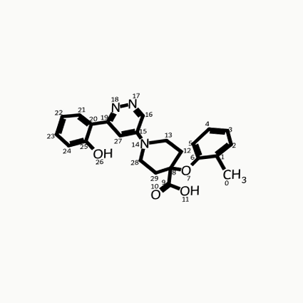 Cc1ccccc1OC1(C(=O)O)CCN(c2cnnc(-c3ccccc3O)c2)CC1